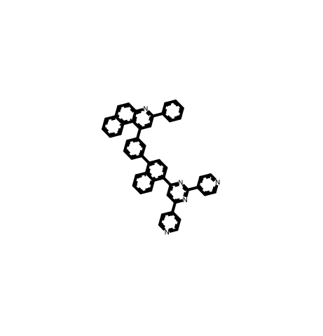 c1ccc(-c2cc(-c3cccc(-c4ccc(-c5cc(-c6ccncc6)nc(-c6ccncc6)n5)c5ccccc45)c3)c3c(ccc4ccccc43)n2)cc1